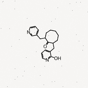 O=C1C(Cc2cccnc2)CCCCCC1Cc1cccnc1O